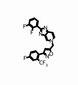 Fc1ccc(-c2cc(Cn3ccc4nc(-c5cccc(F)c5F)nc-4c3)on2)c(C(F)(F)F)c1